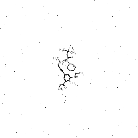 COC(=O)c1cc(C#CCN(C)C)cc(NC(C)[C@H]2CC[C@H](NC(=O)OC(C)(C)C)CC2)c1C